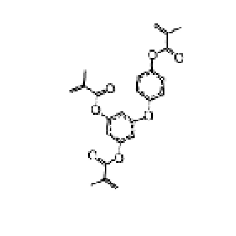 C=C(C)C(=O)Oc1ccc(Oc2cc(OC(=O)C(=C)C)cc(OC(=O)C(=C)C)c2)cc1